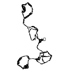 O=C(CC12CC3CC(C1)CC(c1ccccc1)(C3)C2)N1CC2CC1CN2Cc1ccccc1